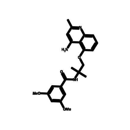 COc1cc(OC)cc(C(=O)NC(C)(C)COc2cccc3nc(C)cc(N)c23)c1